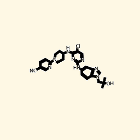 CC(C)(O)Cn1cnc2cc(Nc3ncc(Cl)c(NC4CCN(c5ccc(C#N)cn5)CC4)n3)ccc21